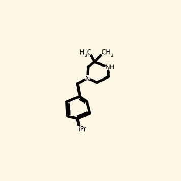 CC(C)c1ccc(CN2CCNC(C)(C)C2)cc1